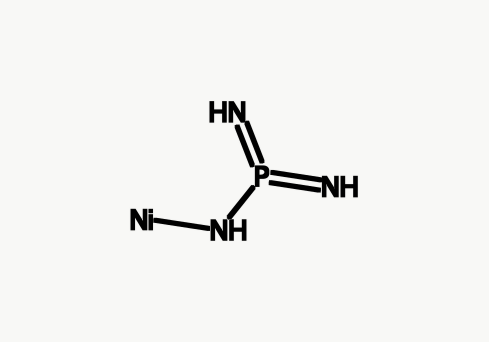 N=P(=N)[NH][Ni]